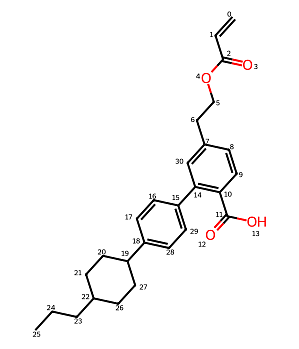 C=CC(=O)OCCc1ccc(C(=O)O)c(-c2ccc(C3CCC(CCC)CC3)cc2)c1